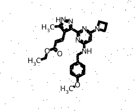 CCOC(=O)C=Cc1c(-c2nc(NCc3ccc(OC)cc3)cc(N3CCC3)n2)n[nH]c1C